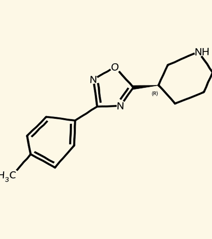 Cc1ccc(-c2noc([C@@H]3CCCNC3)n2)cc1